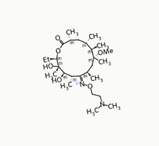 CC[C@H]1OC(=O)[C@H](C)C[C@H](C)[C@@H](C)[C@](C)(OC)C[C@@H](C)/C(=N\OCCN(C)C)[C@H](C)[C@@H](O)[C@]1(C)O